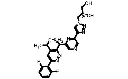 CC(C)c1cc(-c2c(F)cccc2F)nnc1C(C)c1cncc(-c2cn(C[C@@H](O)CO)nn2)n1